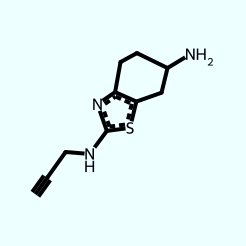 C#CCNc1nc2c(s1)CC(N)CC2